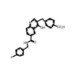 O=C(O)c1ccc(Cc2cnc3ccc(C(=O)NCc4ccc(F)cc4)cc3c2O)cc1